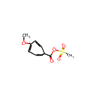 COc1ccc(C(=O)OS(C)(=O)=O)cc1